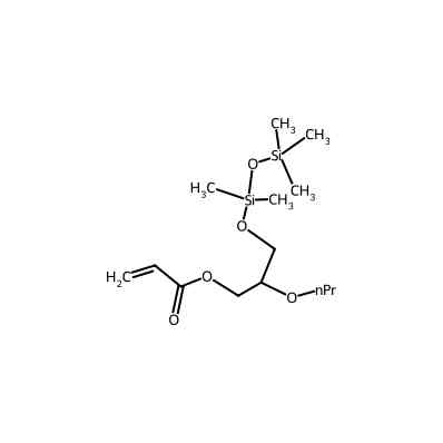 C=CC(=O)OCC(CO[Si](C)(C)O[Si](C)(C)C)OCCC